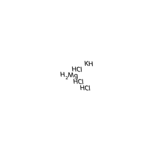 Cl.Cl.Cl.[KH].[MgH2]